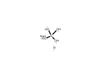 O[Si](O)(O)O.[NaH].[Si]